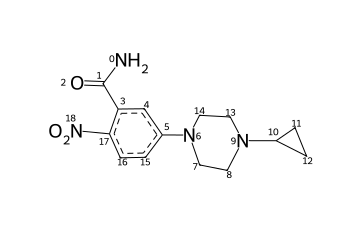 NC(=O)c1cc(N2CCN(C3CC3)CC2)ccc1[N+](=O)[O-]